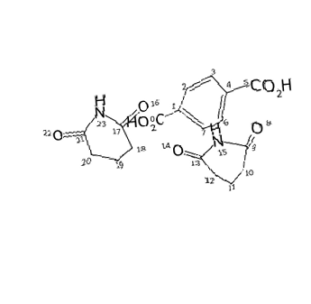 O=C(O)c1ccc(C(=O)O)cc1.O=C1CCCC(=O)N1.O=C1CCCC(=O)N1